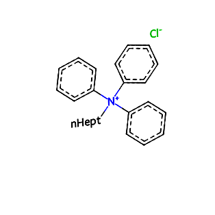 CCCCCCC[N+](c1ccccc1)(c1ccccc1)c1ccccc1.[Cl-]